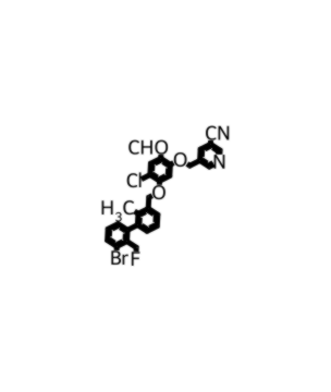 Cc1c(COc2cc(OCc3cncc(C#N)c3)c(C=O)cc2Cl)cccc1-c1cccc(Br)c1CF